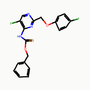 Fc1ccc(OCc2ncc(F)c(NC(=S)OCc3ccccc3)n2)cc1